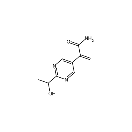 C=C(C(N)=O)c1cnc(C(C)O)nc1